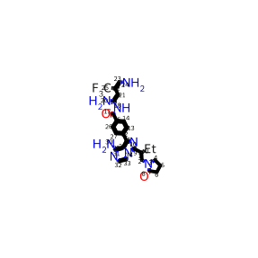 CCC(CN1CCCC1=O)c1nc(-c2ccc(C(=O)N/C(N)=C/C(=C\N)C(F)(F)F)cc2)c2c(N)nccn12